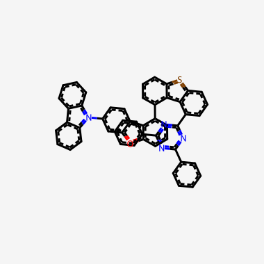 c1ccc(-c2nc(-c3ccccc3)nc(-c3cccc4sc5cccc(-c6cccc7oc8cc(-n9c%10ccccc%10c%10ccccc%109)ccc8c67)c5c34)n2)cc1